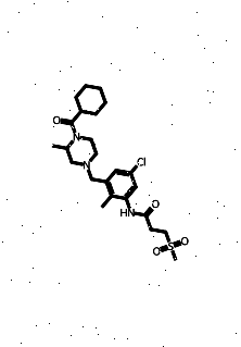 Cc1c(CN2CCN(C(=O)C3CCCCC3)C(C)C2)cc(Cl)cc1NC(=O)CCS(C)(=O)=O